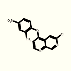 Cc1cc([N+](=O)[O-])ccc1Oc1ccnc2cnc(Cl)cc12